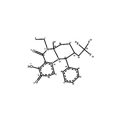 CCN1C(=O)c2c(O)c(=O)ccn2N2C(c3ccccc3)C(CC(F)(F)F)CCC12C